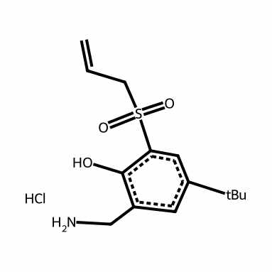 C=CCS(=O)(=O)c1cc(C(C)(C)C)cc(CN)c1O.Cl